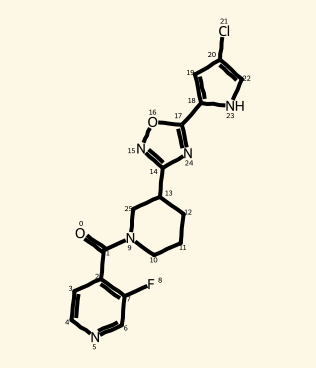 O=C(c1ccncc1F)N1CCCC(c2noc(-c3cc(Cl)c[nH]3)n2)C1